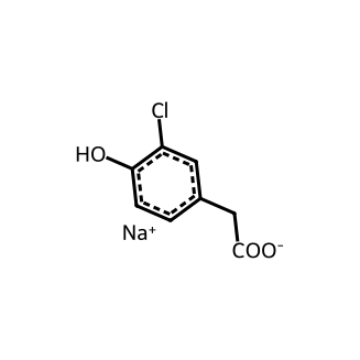 O=C([O-])Cc1ccc(O)c(Cl)c1.[Na+]